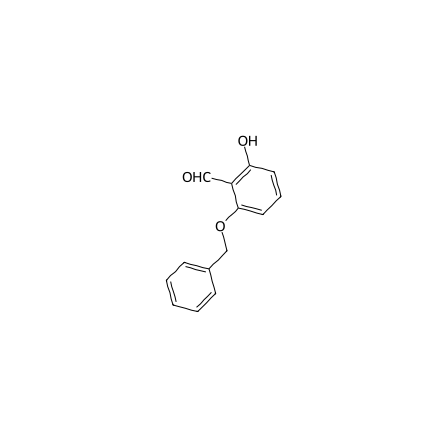 O=Cc1c(O)cccc1OCc1ccccc1